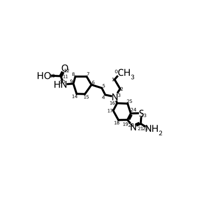 CCCN(CCC1CCC(NC(=O)O)CC1)C1CCc2nc(N)sc2C1